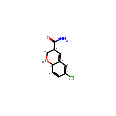 NC(=O)C1C=C2C=C(Cl)C=CC2OC1